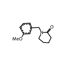 COc1cccc(CN2CCCCC2=O)c1